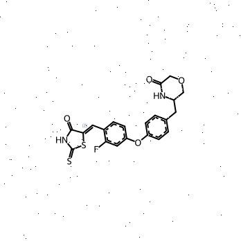 O=C1COCC(Cc2ccc(Oc3ccc(/C=C4\SC(=S)NC4=O)c(F)c3)cc2)N1